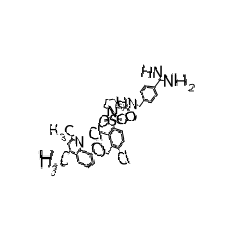 Cc1cc(C)c2cccc(OCc3c(Cl)ccc(S(=O)(=O)N4CCC[C@H]4C(=O)NCc4ccc(C(=N)N)cc4)c3Cl)c2n1